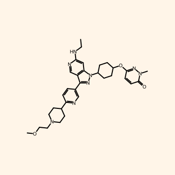 CCNc1cc2c(cn1)c(-c1ccc(C3CCN(CCOC)CC3)nc1)nn2C1CCC(Oc2ccc(=O)n(C)n2)CC1